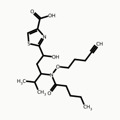 C#CCCCON(C(=O)CCCC)C(CC(O)c1nc(C(=O)O)cs1)C(C)C